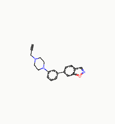 C#CCN1CCN(c2cccc(-c3ccc4cnoc4c3)c2)CC1